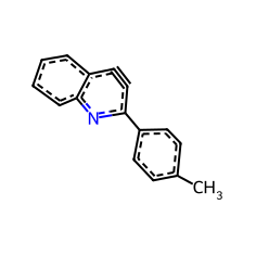 Cc1ccc(-c2c#cc3ccccc3n2)cc1